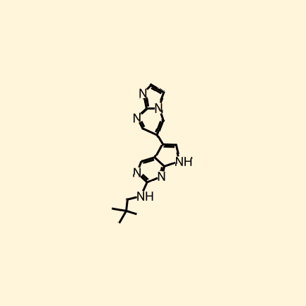 CC(C)(C)CNc1ncc2c(-c3cnc4nccn4c3)c[nH]c2n1